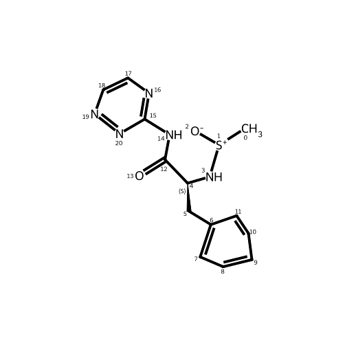 C[S+]([O-])N[C@@H](Cc1ccccc1)C(=O)Nc1nccnn1